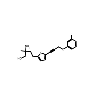 CC(N)(CO)CCc1ccc(C#CCOc2cccc(F)c2)s1